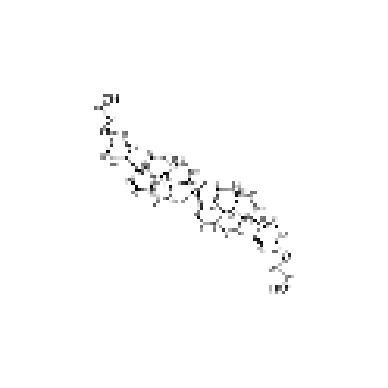 C[Si](C)(c1ccc2ccc3c(-c4ccc(OCCO)cc4)ccc4ccc1c2c43)c1ccc2ccc3c(-c4ccc(OCCO)cc4)ccc4ccc1c2c43